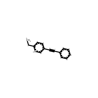 CCc1ccc(C#Cc2ccccc2)cn1